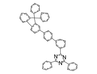 c1ccc(-c2nc(-c3ccccc3)nc(-c3cccc(-c4ccc(-c5ccc6c(c5)C(c5ccccc5)(c5ccccc5)c5ccccc5-6)cc4)c3)n2)cc1